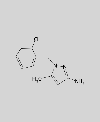 Cc1cc(N)nn1Cc1ccccc1Cl